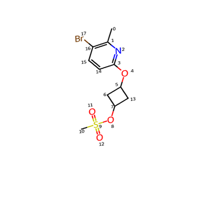 Cc1nc(OC2CC(OS(C)(=O)=O)C2)ccc1Br